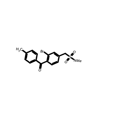 CNS(=O)(=O)Cc1ccc(C(=O)c2ccc(C)cc2)c(Br)c1